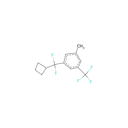 Cc1cc(C(F)(F)F)cc(C(F)(F)C2CCC2)c1